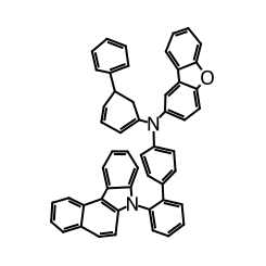 C1=CC(c2ccccc2)CC(N(c2ccc(-c3ccccc3-n3c4ccccc4c4c5ccccc5ccc43)cc2)c2ccc3oc4ccccc4c3c2)=C1